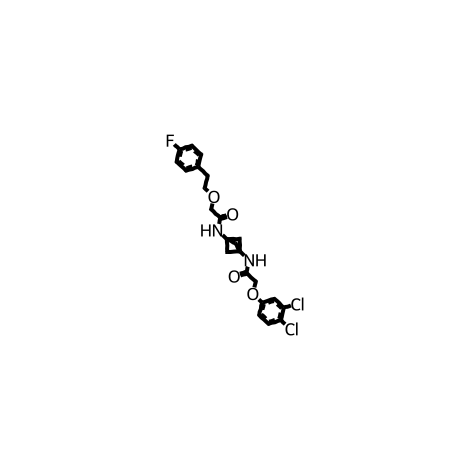 O=C(COCCc1ccc(F)cc1)NC12CC(NC(=O)COc3ccc(Cl)c(Cl)c3)(C1)C2